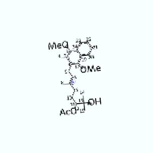 COc1c(C)c(C/C=C(\C)CCC(OC(C)=O)C(C)(C)O)c(OC)c2ccccc12